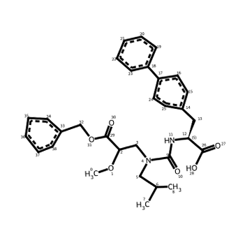 COC(CN(CC(C)C)C(=O)N[C@@H](Cc1ccc(-c2ccccc2)cc1)C(=O)O)C(=O)OCc1ccccc1